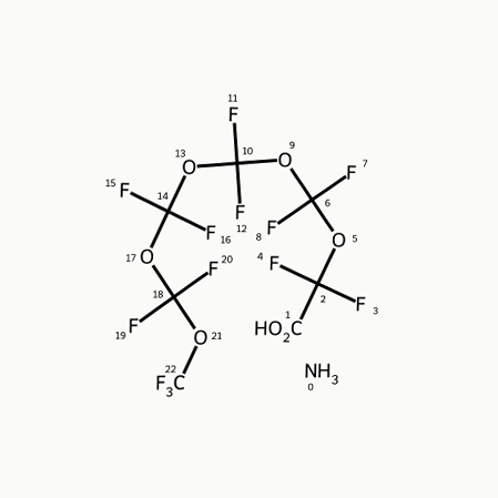 N.O=C(O)C(F)(F)OC(F)(F)OC(F)(F)OC(F)(F)OC(F)(F)OC(F)(F)F